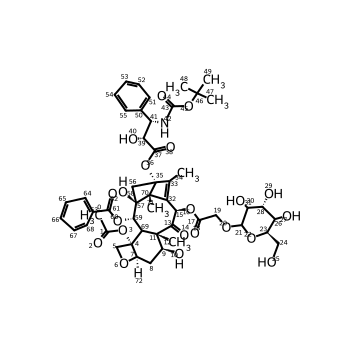 CC(=O)O[C@@]12CO[C@@H]1C[C@H](O)[C@@]1(C)C(=O)[C@H](OC(=O)COC3O[C@H](CO)C(O)[C@@H](O)C3O)C3=C(C)[C@]4(OC(=O)[C@H](O)[C@@H](NC(=O)OC(C)(C)C)c5ccccc5)C[C@@](O)([C@@H](OC(=O)c5ccccc5)C12)[C@@]34C